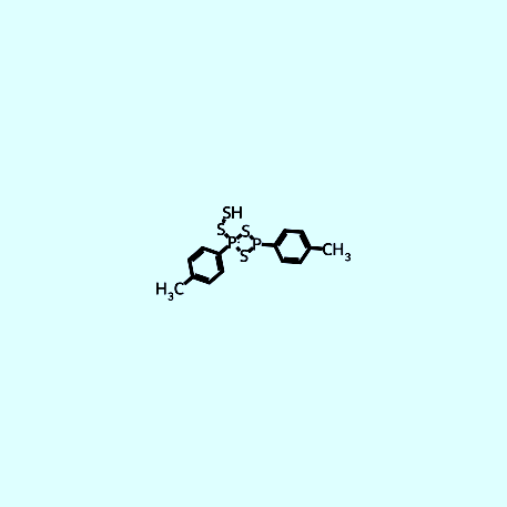 Cc1ccc(P2S[P](SS)(c3ccc(C)cc3)S2)cc1